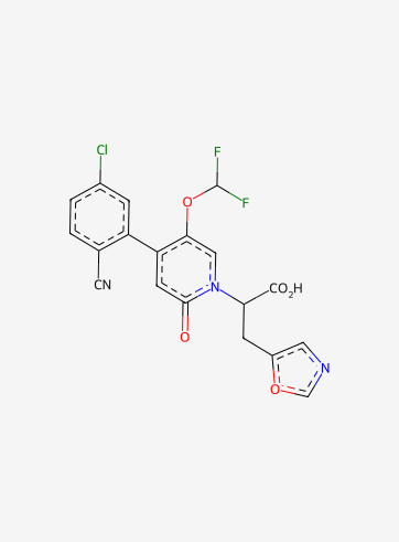 N#Cc1ccc(Cl)cc1-c1cc(=O)n(C(Cc2cnco2)C(=O)O)cc1OC(F)F